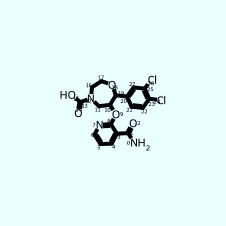 NC(=O)c1cccnc1OC1CN(C(=O)O)CCOC1c1ccc(Cl)c(Cl)c1